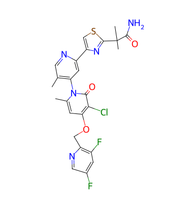 Cc1cnc(-c2csc(C(C)(C)C(N)=O)n2)cc1-n1c(C)cc(OCc2ncc(F)cc2F)c(Cl)c1=O